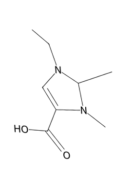 CCN1C=C(C(=O)O)N(C)C1C